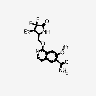 CCC1C(COc2nccc3cc(C(N)=O)c(OC(C)C)cc23)NC(=O)C1(F)F